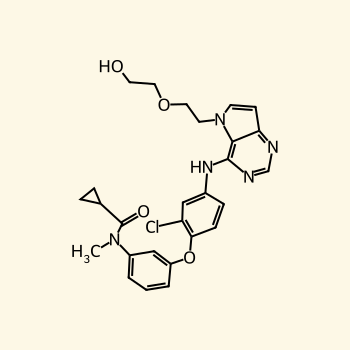 CN(C(=O)C1CC1)c1cccc(Oc2ccc(Nc3ncnc4ccn(CCOCCO)c34)cc2Cl)c1